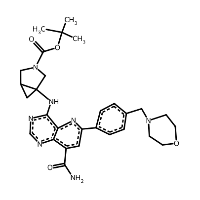 CC(C)(C)OC(=O)N1CC2CC2(Nc2ncnc3c(C(N)=O)cc(-c4ccc(CN5CCOCC5)cc4)nc23)C1